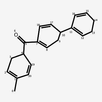 CC1=CCC(C(=O)C2=CCC(C3=CCCC=C3)C=C2)C=C1